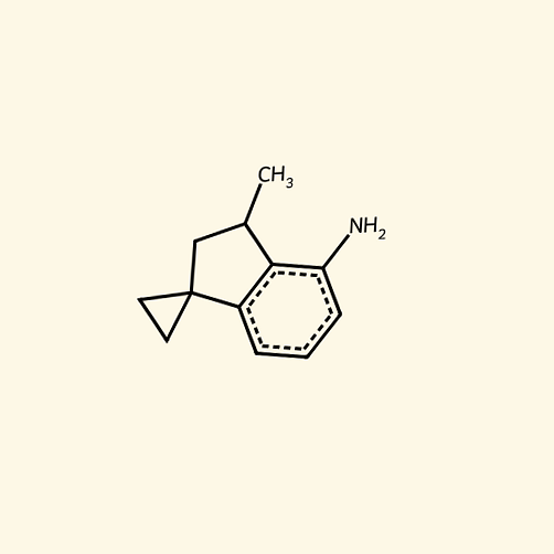 CC1CC2(CC2)c2cccc(N)c21